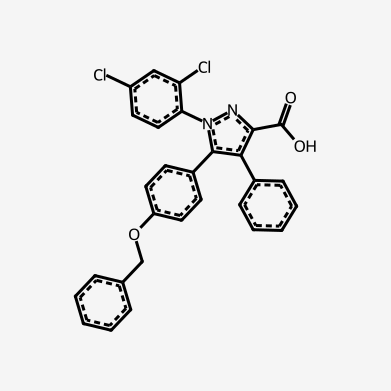 O=C(O)c1nn(-c2ccc(Cl)cc2Cl)c(-c2ccc(OCc3ccccc3)cc2)c1-c1ccccc1